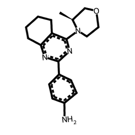 C[C@H]1COCCN1c1nc(-c2ccc(N)cc2)nc2c1CCCC2